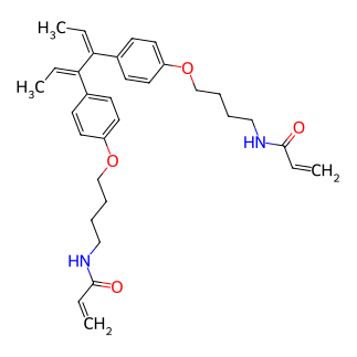 C=CC(=O)NCCCCOc1ccc(C(=CC)C(=CC)c2ccc(OCCCCNC(=O)C=C)cc2)cc1